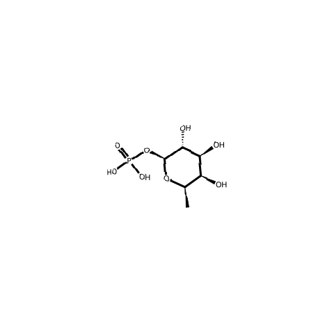 C[C@H]1O[C@@H](OP(=O)(O)O)[C@H](O)[C@@H](O)[C@H]1O